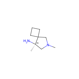 CN1CC2(CCC2)[C@](C)(N)C1